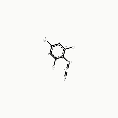 O=C=Nc1c(Cl)cc(Br)cc1Cl